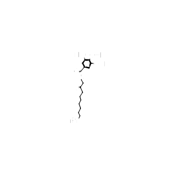 CC(C)CCCCCCCC(=O)CCOC(=O)c1cc(O)c(O)c(O)c1